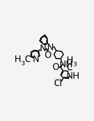 Cc1ccc(-n2c(=O)n(CC3CCC(NC(=O)C4=CC(Cl)=CNC4C)CC3)c3ccccc32)cn1